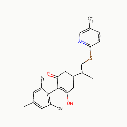 CCc1cc(C)cc(CC)c1C1=C(O)CC(C(C)CSc2ccc(C(F)(F)F)cn2)CC1=O